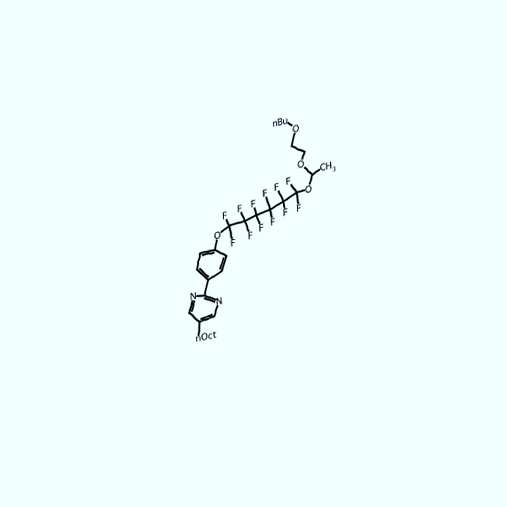 CCCCCCCCc1cnc(-c2ccc(OC(F)(F)C(F)(F)C(F)(F)C(F)(F)C(F)(F)C(F)(F)OC(C)OCCOCCCC)cc2)nc1